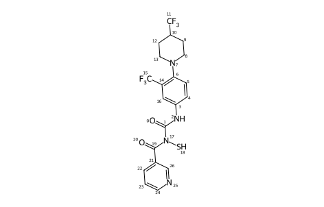 O=C(Nc1ccc(N2CCC(C(F)(F)F)CC2)c(C(F)(F)F)c1)N(S)C(=O)c1cccnc1